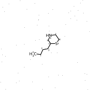 CCC[CH]C1CNCCS1